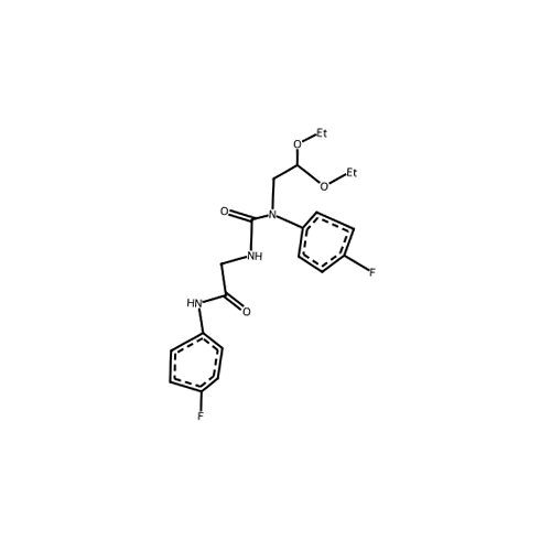 CCOC(CN(C(=O)NCC(=O)Nc1ccc(F)cc1)c1ccc(F)cc1)OCC